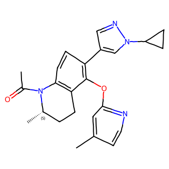 CC(=O)N1c2ccc(-c3cnn(C4CC4)c3)c(Oc3cc(C)ccn3)c2CC[C@@H]1C